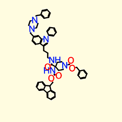 O=C(NC1(C(=O)NCCCc2cn(-c3ccccc3)c3cc(CN4CCN(Cc5ccccc5)CC4)ccc23)CCN(C(=O)OCc2ccccc2)CC1)OCC1c2ccccc2-c2ccccc21